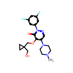 CN1CCN(c2cnn(-c3cc(F)cc(F)c3)c(=O)c2OCC2(CO)CC2)CC1